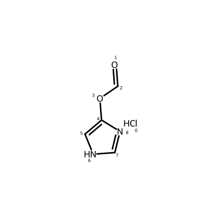 Cl.O=COc1c[nH]cn1